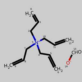 C=CC[N+](CC=C)(CC=C)CC=C.O=C[O-]